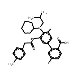 Cc1ccc(CC(=O)Nc2cc(-c3cc(F)ccc3C(=O)O)cc(F)c2N(CC(C)C)C2CCCCC2)cc1